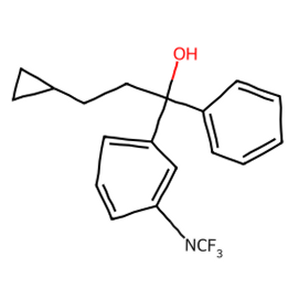 OC(CCC1CC1)(c1ccccc1)c1cccc(NC(F)(F)F)c1